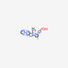 CC1c2cnc(-c3ncccn3)nc2CCN1c1cc(F)cc(N2CC(CO)C2)n1